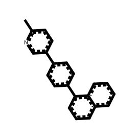 Cc1ccc(-c2ccc(-c3cccc4ccccc34)cc2)cn1